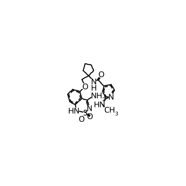 CNc1cc(C(=O)NC2(COc3cccc4c3C(N)=NS(=O)(=O)N4)CCCC2)ccn1